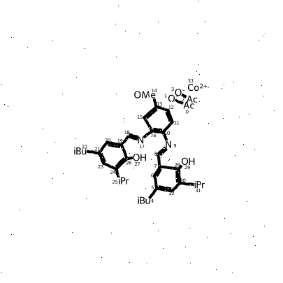 CC(=O)[O-].CC(=O)[O-].CCC(C)c1cc(C=Nc2ccc(OC)cc2N=Cc2cc(C(C)CC)cc(C(C)C)c2O)c(O)c(C(C)C)c1.[Co+2]